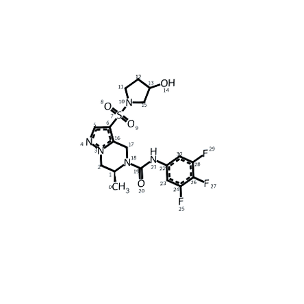 C[C@H]1Cn2ncc(S(=O)(=O)N3CCC(O)C3)c2CN1C(=O)Nc1cc(F)c(F)c(F)c1